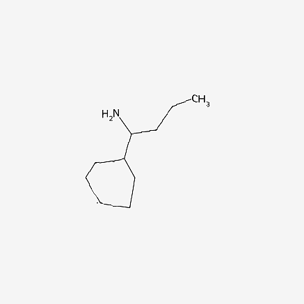 CCCC(N)C1CC[CH]CC1